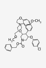 COCCC[N+]1(COC2CN(C(=O)OCc3ccccc3)CC(Oc3ccc(Cl)cc3)C2c2ccc(OC)cc2)CCOc2ccccc21